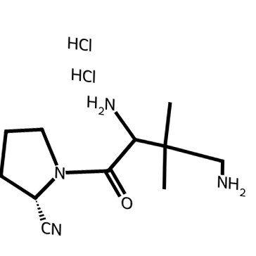 CC(C)(CN)C(N)C(=O)N1CCC[C@H]1C#N.Cl.Cl